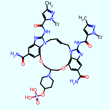 CCn1nc(C)cc1C(=O)Nc1nc2cc(C(N)=O)cc3c2n1C/C=C/Cn1c(NC(=O)c2cc(C)nn2CC)nc2cc(C(N)=O)cc(c21)OCC(N1CCC(OP(=O)(O)O)CC1)CO3